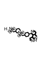 NS(=O)(=O)CC1CCCN(S(=O)(=O)CC2CCC(c3nccc4cnc5[nH]ccc5c34)CC2)C1